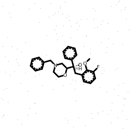 COc1c(F)cccc1C[C@](O)(c1ccccc1)C1CN(Cc2ccccc2)CCO1